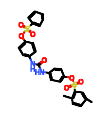 Cc1ccc(C)c(S(=O)(=O)Oc2ccc(NC(=O)Nc3ccc(OS(=O)(=O)c4ccccc4)cc3)cc2)c1